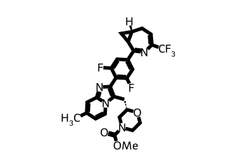 COC(=O)N1CCO[C@@H](Cc2c(-c3c(F)cc(C4=NC(C(F)(F)F)=CC[C@H]5CC45)cc3F)nc3cc(C)ccn23)C1